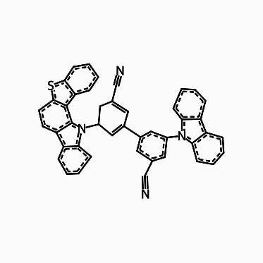 N#CC1=CC(c2cc(C#N)cc(-n3c4ccccc4c4ccccc43)c2)=CC(n2c3ccccc3c3ccc4sc5ccccc5c4c32)C1